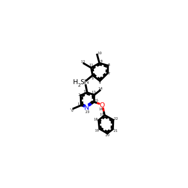 [CH2]c1cc([SiH2]c2cccc(C)c2C)c(C)c(Oc2ccccc2)n1